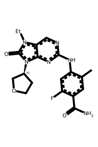 CCn1c(=O)n([C@H]2CCOC2)c2nc(Nc3cc(F)c(C(N)=O)cc3C)ncc21